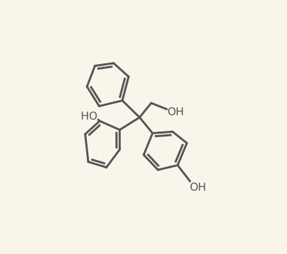 OCC(c1ccccc1)(c1ccc(O)cc1)c1ccccc1O